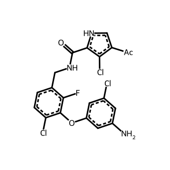 CC(=O)c1c[nH]c(C(=O)NCc2ccc(Cl)c(Oc3cc(N)cc(Cl)c3)c2F)c1Cl